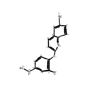 CC(=O)c1ccc2nc(Oc3ccc(NC(C)C)cc3Br)ccc2c1